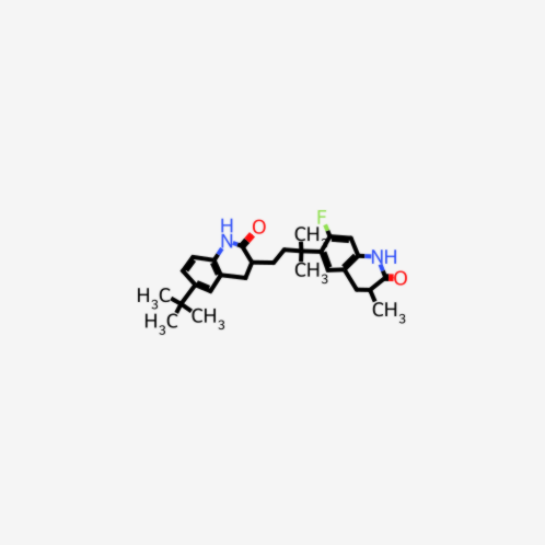 CC1Cc2cc(C(C)(C)CCC3Cc4cc(C(C)(C)C)ccc4NC3=O)c(F)cc2NC1=O